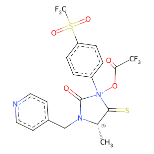 C[C@H]1C(=S)[N+](OC(=O)C(F)(F)F)(c2ccc(S(=O)(=O)C(F)(F)F)cc2)C(=O)N1Cc1ccncc1